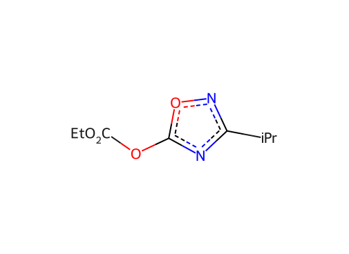 CCOC(=O)Oc1nc(C(C)C)no1